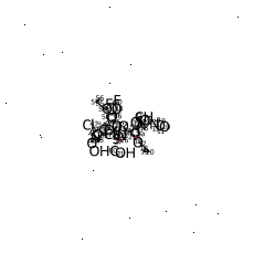 CS(=O)(=O)N(CCN1CCOCC1)c1cc(OCC2CC2)cc(C(=O)N2CCSC2C(=O)O[C@@H](Cc2c(Cl)c[n+]([O-])cc2Cl)c2ccc(OC(F)F)c(OCC3CC3)c2)c1.O=CO